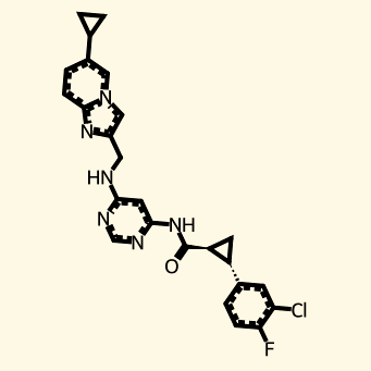 O=C(Nc1cc(NCc2cn3cc(C4CC4)ccc3n2)ncn1)[C@H]1C[C@@H]1c1ccc(F)c(Cl)c1